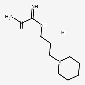 I.N=C(NN)NCCCN1CCCCC1